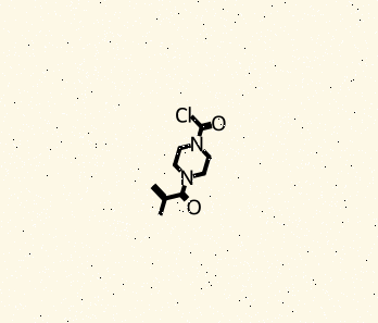 C=C(C)C(=O)N1CCN(C(=O)Cl)CC1